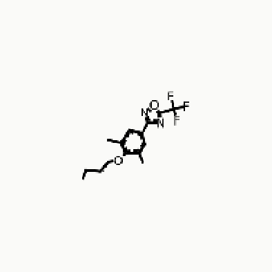 CC[CH]COc1c(C)cc(-c2noc(C(F)(F)F)n2)cc1C